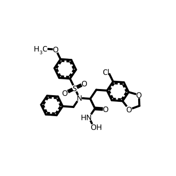 COc1ccc(S(=O)(=O)N(Cc2ccccc2)C(Cc2cc3c(cc2Cl)OCO3)C(=O)NO)cc1